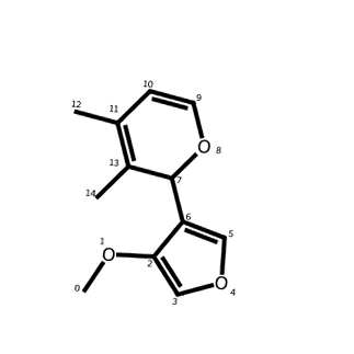 COc1[c]occ1C1OC=CC(C)=C1C